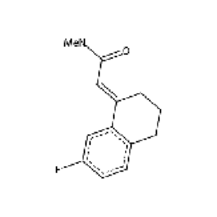 CNC(=O)C=C1CCCc2ccc(F)cc21